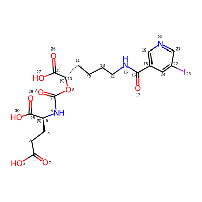 O=C(O)CC[C@H](NC(=O)O[C@@H](CCCCNC(=O)c1cncc(I)c1)C(=O)O)C(=O)O